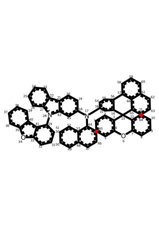 c1ccc2c(c1)Oc1ccccc1C21c2cc(N(c3ccc4c5ccccc5n(-c5cccc6oc7ccccc7c56)c4c3)c3cccc4ccccc34)ccc2-c2cccc3cccc1c23